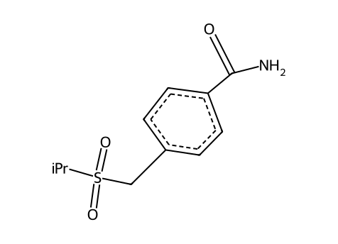 CC(C)S(=O)(=O)Cc1ccc(C(N)=O)cc1